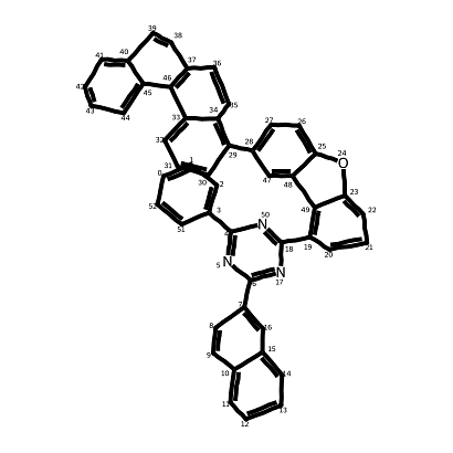 c1ccc(-c2nc(-c3ccc4ccccc4c3)nc(-c3cccc4oc5ccc(-c6cccc7c6ccc6ccc8ccccc8c67)cc5c34)n2)cc1